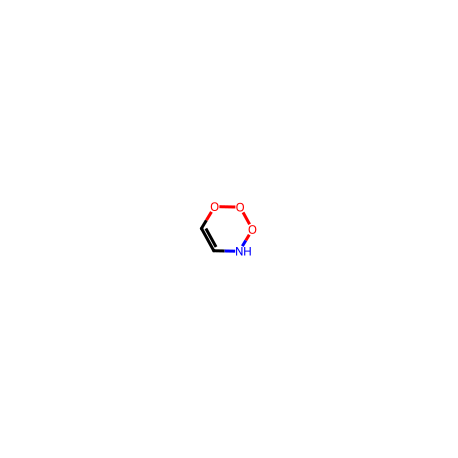 c1cooo[nH]1